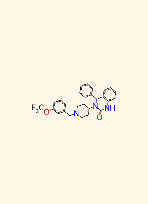 O=C1Nc2ccccc2C(c2ccccc2)N1C1CCN(Cc2cccc(OC(F)(F)F)c2)CC1